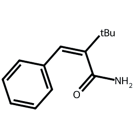 CC(C)(C)C(=Cc1ccccc1)C(N)=O